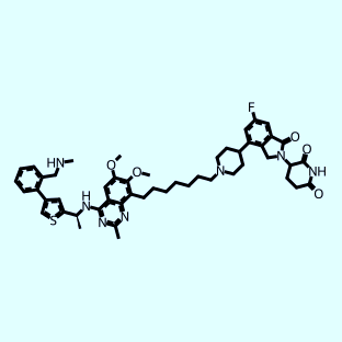 CNCc1ccccc1-c1csc([C@H](C)Nc2nc(C)nc3c(CCCCCCCN4CCC(c5cc(F)cc6c5CN(C5CCC(=O)NC5=O)C6=O)CC4)c(OC)c(OC)cc23)c1